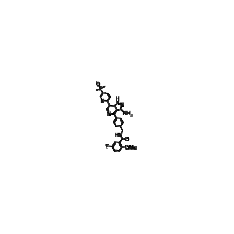 COc1ccc(F)cc1C(=O)NCc1ccc(-c2ncc(-c3ccc(P(C)(C)=O)cn3)c3[nH]nc(N)c23)cc1